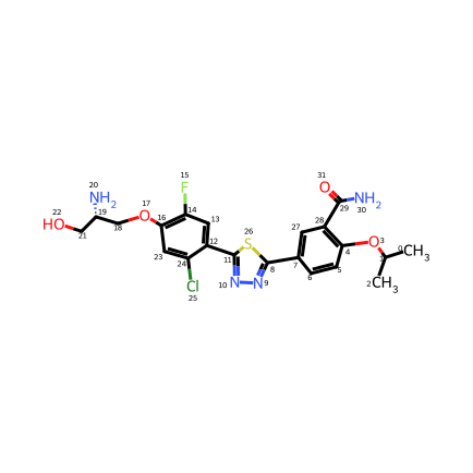 CC(C)Oc1ccc(-c2nnc(-c3cc(F)c(OC[C@@H](N)CO)cc3Cl)s2)cc1C(N)=O